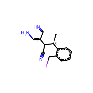 C[C@@H](c1ccccc1CI)C(C#N)/C(C=N)=C/N